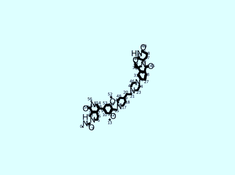 CNC(=O)N1CCc2c(-c3cc(OC)c(CN4CCC(CCN5CCN(c6ccc7c(c6)C6(CC6)N(C6CCC(=O)NC6=O)C7=O)CC5)CC4)c(OC)c3)cn(C)c(=O)c2C1